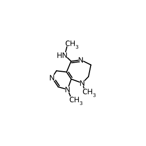 CNC1=NCCN(C)C2=C1CN=CN2C